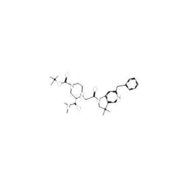 C[C@@H]1CN(CC(=O)N2CC(C)(C)c3cnc(Cc4ccccc4)cc32)[C@@H](C(=O)N(C)C)CN1C(=O)OC(C)(C)C